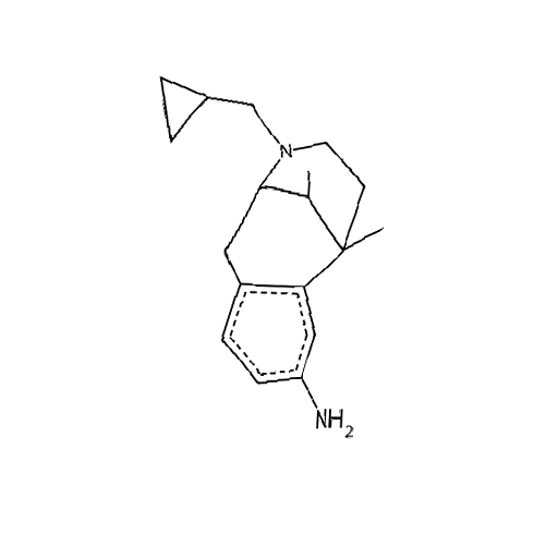 CC1C2Cc3ccc(N)cc3C1(C)CCN2CC1CC1